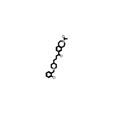 CC(=O)N1CCc2ccc(C(=O)CCCC3CCN(Cc4ccccc4Cl)CC3)cc2CC1